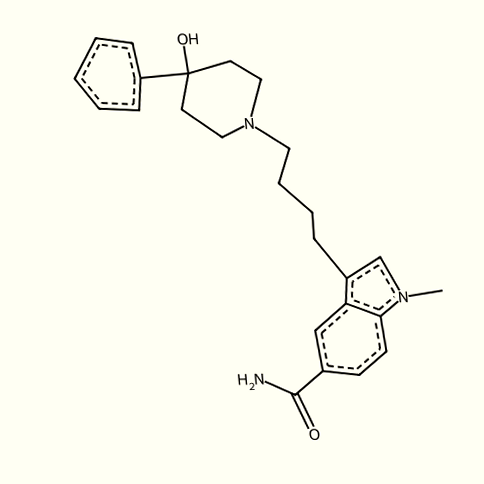 Cn1cc(CCCCN2CCC(O)(c3ccccc3)CC2)c2cc(C(N)=O)ccc21